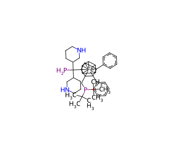 CC(C)(C)P(C[C]12[C]3(c4ccccc4)[C]4(c5ccccc5)[CH]5[C]1(C(P)(C1CCCNC1)C1CCCNC1)[Fe]54231678[CH]2[CH]1[CH]6[CH]7[CH]28)C(C)(C)C